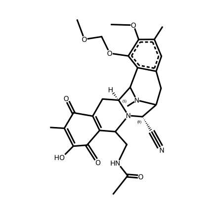 COCOc1c(OC)c(C)cc2c1C1[C@@H]3CC4=C(C(=O)C(O)=C(C)C4=O)C(CNC(C)=O)N3[C@@H](C#N)C(C2)N1C